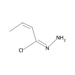 C/C=C\C(Cl)=N/N